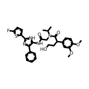 COc1ccc(C(CCO)C(=O)N(CC(=O)Nc2[nH]c(-c3ccc(F)s3)nc2-c2ccccc2)C(C)C)cc1OC